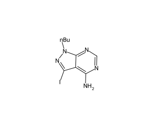 [CH2]CCCn1nc(I)c2c(N)ncnc21